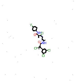 C=C(C(=O)Nc1ccc(F)cc1)/C(Cl)=C\C=C(/C)NC(=O)C1C(c2cc(Cl)cc(Cl)c2)[C@H]1Cl